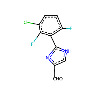 O=Cc1c[nH]c(-c2c(F)ccc(Cl)c2F)n1